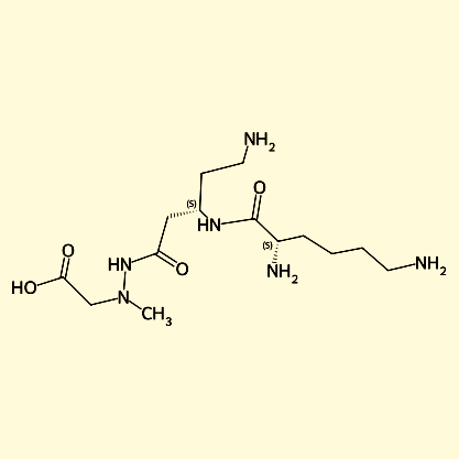 CN(CC(=O)O)NC(=O)C[C@H](CCN)NC(=O)[C@@H](N)CCCCN